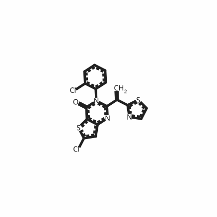 C=C(c1nccs1)c1nc2cc(Cl)sc2c(=O)n1-c1ccccc1Cl